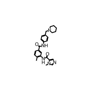 Cc1ccc(C(=O)Nc2ccc(CN3CCCCC3)cc2)cc1NC(=O)c1cncn1C